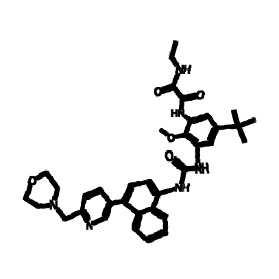 CCNC(=O)C(=O)Nc1cc(C(C)(C)C)cc(NC(=O)Nc2ccc(-c3ccc(CN4CCOCC4)nc3)c3ccccc23)c1OC